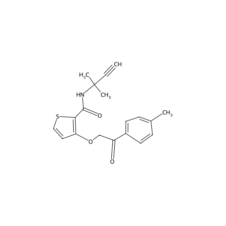 C#CC(C)(C)NC(=O)c1sccc1OCC(=O)c1ccc(C)cc1